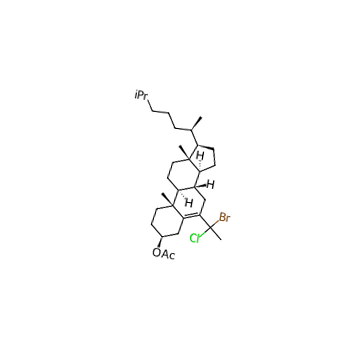 CC(=O)O[C@H]1CC[C@@]2(C)C(=C(C(C)(Cl)Br)C[C@H]3[C@@H]4CC[C@H]([C@H](C)CCCC(C)C)[C@@]4(C)CC[C@@H]32)C1